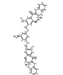 COc1cc2c(cc1OCc1cc(N)cc(COc3cc4c(cc3C)C(=O)N3Cc5ccccc5C[C@H]3C=N4)c1)N=C[C@@H]1Cc3ccccc3CN1C2=O